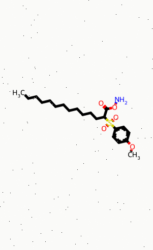 CCCCCCCCCCCCC(C(=O)ON)S(=O)(=O)c1ccc(OC)cc1